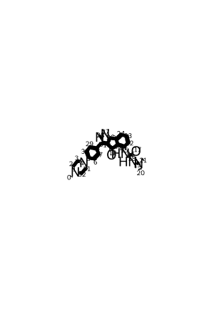 CN1CCN(c2ccc(C3=C4C(=O)c5c(NC(=O)NN(C)C)cccc5C4N=N3)cc2)CC1